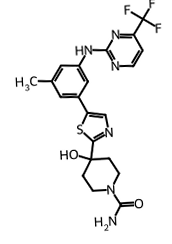 Cc1cc(Nc2nccc(C(F)(F)F)n2)cc(-c2cnc(C3(O)CCN(C(N)=O)CC3)s2)c1